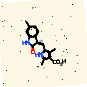 Cc1ccc2c(c1)NC(=O)/C2=C\c1[nH]c(C)c(C(=O)O)c1C